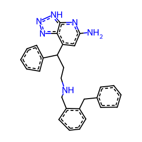 Nc1cc(C(CCNCc2ccccc2Cc2ccccc2)c2ccccc2)c2nn[nH]c2n1